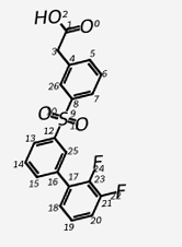 O=C(O)Cc1cccc(S(=O)(=O)c2cccc(-c3cccc(F)c3F)c2)c1